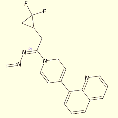 C=N/N=C(/CC1CC1(F)F)N1C=CC(c2cccc3cccnc23)=CC1